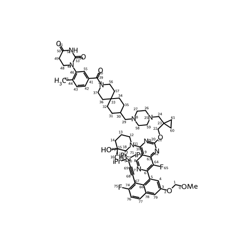 COCOc1cc(-c2ncc3c(N4CCC[C@@](C)(O)C4)nc(OCC4(CN5CCN(CC6CCC7(CC6)CCN(C(=O)c6ccc(C)c(N8CCC(=O)NC8=O)c6)CC7)CC5)CC4)nc3c2F)c2c(C#C[Si](C(C)C)(C(C)C)C(C)C)c(F)ccc2c1